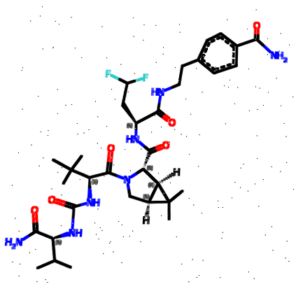 CC(C)[C@H](NC(=O)N[C@H](C(=O)N1C[C@H]2[C@@H]([C@H]1C(=O)N[C@@H](CC(F)F)C(=O)NCCc1ccc(C(N)=O)cc1)C2(C)C)C(C)(C)C)C(N)=O